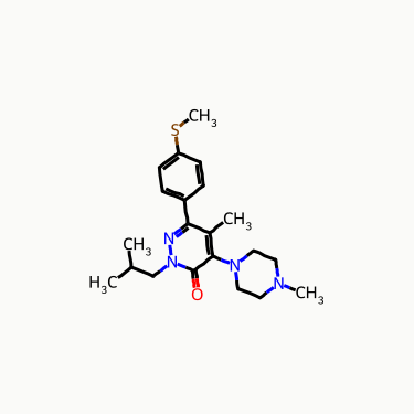 CSc1ccc(-c2nn(CC(C)C)c(=O)c(N3CCN(C)CC3)c2C)cc1